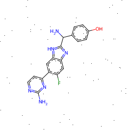 Nc1nccc(-c2cc3[nH]c(C(N)c4ccc(O)cc4)nc3cc2F)n1